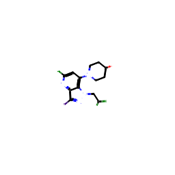 OC1CCN(c2cc(Cl)nc3c(I)nn(CC(F)F)c23)CC1